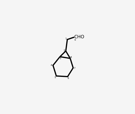 O=CCC1C2CCCCC12